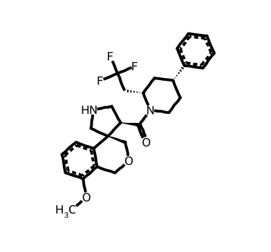 COc1cccc2c1COC[C@]21CNC[C@H]1C(=O)N1CC[C@@H](c2ccccc2)C[C@H]1CC(F)(F)F